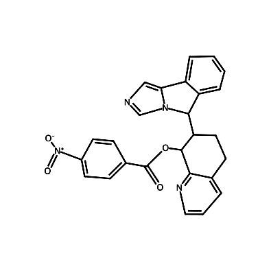 O=C(OC1c2ncccc2CCC1C1c2ccccc2-c2cncn21)c1ccc([N+](=O)[O-])cc1